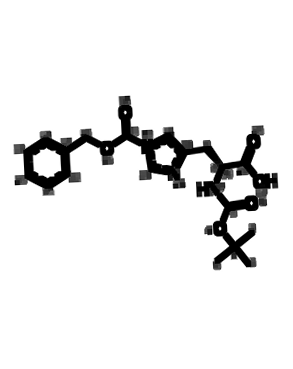 CC(C)(C)OC(=O)N[C@@H](Cc1cn(C(=O)OCc2ccccc2)cn1)C(=O)O